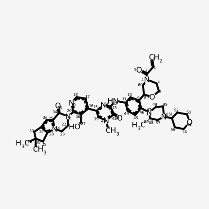 C=CC(=O)N1CCOC(c2cc(Nc3nc(-c4ccnc(N5CCn6c(cc7c6CC(C)(C)C7)C5=O)c4CO)cn(C)c3=O)ccc2N2CCN(C3CCOCC3)C[C@@H]2C)C1